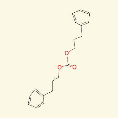 O=C(OCCCc1ccccc1)OCCCc1ccccc1